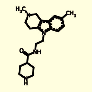 Cc1ccc2c(c1)c1c(n2CCNC(=O)C2CCNCC2)CCN(C)C1